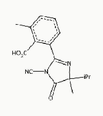 Cc1cccc(C2=NC(C)(C(C)C)C(=O)N2C#N)c1C(=O)O